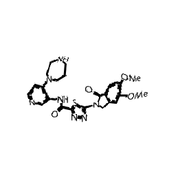 COc1cc2c(cc1OC)C(=O)N(c1nnc(C(=O)Nc3cnccc3N3CCCNCC3)s1)C2